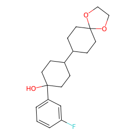 OC1(c2cccc(F)c2)CCC(C2CCC3(CC2)OCCO3)CC1